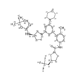 Cc1ccc(NC(=O)N2CC[C@@H](CC(F)(F)F)C2)cc1-c1cc(N2CCOCC2)nc(N2CC[C@@H](NC(=O)OC(C)(C)C)C2)c1